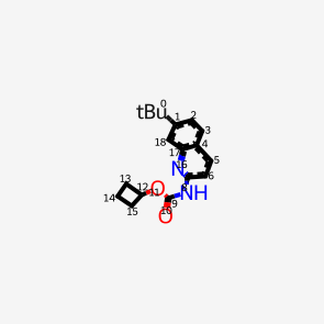 CC(C)(C)c1ccc2ccc(NC(=O)OC3CCC3)nc2c1